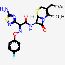 CC(=O)OCC1=C(C(=O)O)N2C(=O)[C@@H](NC(=O)C(=NOc3ccc(F)cc3)c3nsc(N)n3)[C@H]2SC1